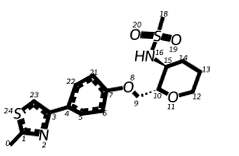 Cc1nc(-c2ccc(OC[C@H]3OCCC[C@@H]3NS(C)(=O)=O)cc2)cs1